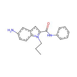 CCCn1c(C(=O)Nc2ccccc2)cc2cc(N)ccc21